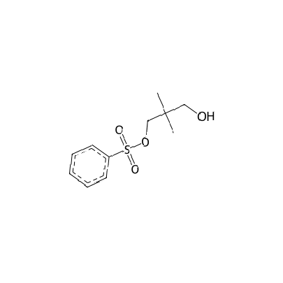 CC(C)(CO)COS(=O)(=O)c1ccccc1